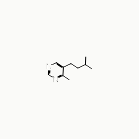 Cc1ncncc1CCC(C)C